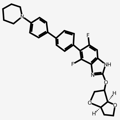 Fc1cc2[nH]c(OC3CO[C@@H]4CCO[C@H]34)nc2c(F)c1-c1ccc(-c2ccc(N3CCCCC3)cc2)cc1